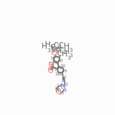 CC(C)(C)[Si](C)(C)Oc1ccc2c(c1)oc(=O)c1cc(C#CCN3CCOCC3)ccc12